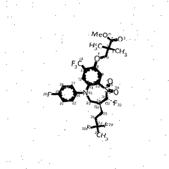 COC(=O)C(C)(C)COc1cc2c(cc1C(F)(F)F)N(c1ccc(F)cc1)C[C@H](CCC(C)(F)F)[C@@H](F)S2(=O)=O